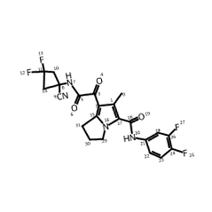 Cc1c(C(=O)C(=O)NC2(C#N)CC(F)(F)C2)c2n(c1C(=O)Nc1ccc(F)c(F)c1)CCC2